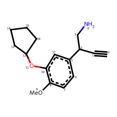 C#CC(CN)c1ccc(OC)c(OC2CCCC2)c1